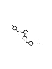 COc1ccc(CN2CCC(C#N)(c3ncccc3CNC(=O)c3ccc(Cl)cc3)CC2)cc1OC